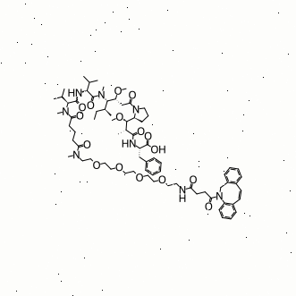 CC[C@H](C)[C@@H]([C@@H](CC(=O)N1CCC[C@H]1[C@H](OC)[C@@H](C)C(=O)N[C@@H](Cc1ccccc1)C(=O)O)OC)N(C)C(=O)[C@@H](NC(=O)[C@H](C(C)C)N(C)C(=O)CCCC(=O)N(C)CCOCCOCCOCCOCCNC(=O)CCC(=O)N1Cc2ccccc2/C=C\c2ccccc21)C(C)C